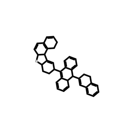 C1=CC2=C(C3C=C4C(CC3)OC3C=CC5=C(CCC=C5)C43)c3ccccc3C(C3=Cc4ccccc4CC3)C2C=C1